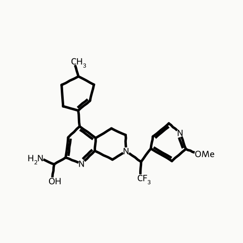 COc1cc(C(N2CCc3c(C4=CCC(C)CC4)cc(C(N)O)nc3C2)C(F)(F)F)ccn1